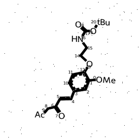 COc1cc(C=CC(=O)CC(C)=O)ccc1OCCNC(=O)OC(C)(C)C